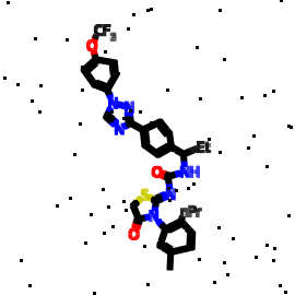 CCCc1ccc(C)cc1N1C(=O)CS/C1=N\C(=O)NC(CC)c1ccc(-c2ncn(-c3ccc(OC(F)(F)F)cc3)n2)cc1